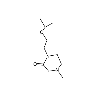 CC(C)OCCN1CCN(C)CC1=O